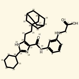 O=C(O)CNc1cccc(NC(=O)c2nc(C3CCCCC3)[nH]c2CCC23CC4CC(CC(C4)C2)C3)c1